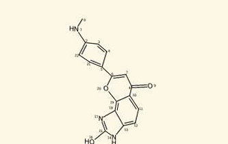 CNc1ccc(-c2cc(=O)c3ccc4[nH]c(O)nc4c3o2)cc1